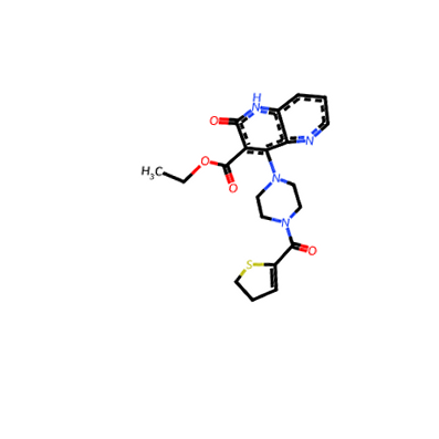 CCOC(=O)c1c(N2CCN(C(=O)C3=CCCS3)CC2)c2ncccc2[nH]c1=O